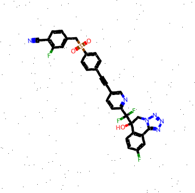 N#Cc1ccc(CS(=O)(=O)c2ccc(C#Cc3ccc(C(F)(F)C4(O)Cn5nnnc5-c5cc(F)ccc54)nc3)cc2)cc1F